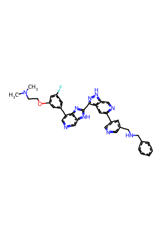 CN(C)CCOc1cc(F)cc(-c2cncc3[nH]c(-c4n[nH]c5cnc(-c6cncc(CNCc7ccccc7)c6)cc45)nc23)c1